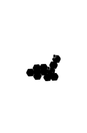 c1ccc(-c2ccccc2-c2nc(-c3ccc(-c4cccnc4)cc3)nc(-c3ccc(-c4c5ccccc5c(-c5ccccc5)c5ccccc45)c4ccccc34)n2)cc1